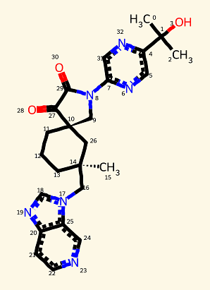 CC(C)(O)c1cnc(N2C[C@@]3(CCC[C@](C)(Cn4cnc5ccncc54)C3)C(=O)C2=O)cn1